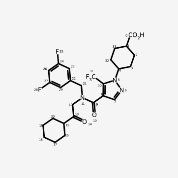 O=C(O)C1CCC(n2ncc(C(=O)N(CC(=O)C3CCCCC3)Cc3cc(F)cc(F)c3)c2C(F)(F)F)CC1